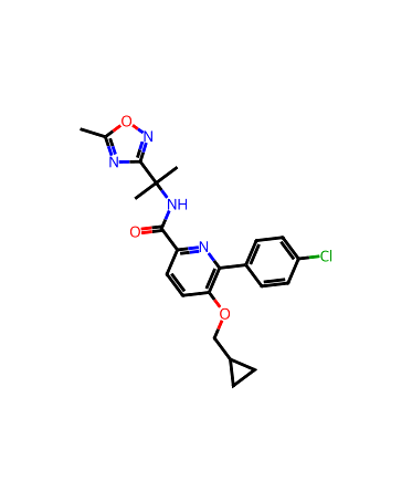 Cc1nc(C(C)(C)NC(=O)c2ccc(OCC3CC3)c(-c3ccc(Cl)cc3)n2)no1